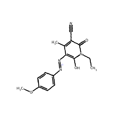 CCn1c(O)c(/N=N/c2ccc(OC)cc2)c(C)c(C#N)c1=O